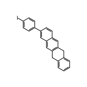 Ic1ccc(-c2ccc3cc4c(cc3c2)Cc2ccccc2C4)cc1